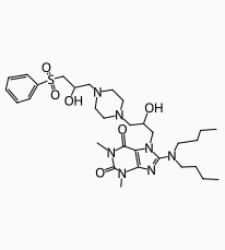 CCCCN(CCCC)c1nc2c(c(=O)n(C)c(=O)n2C)n1CC(O)CN1CCN(CC(O)CS(=O)(=O)c2ccccc2)CC1